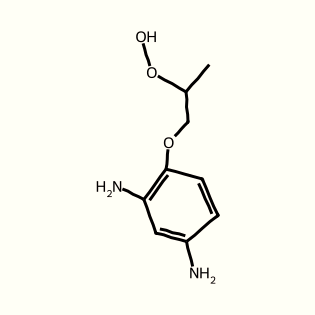 CC(COc1ccc(N)cc1N)OO